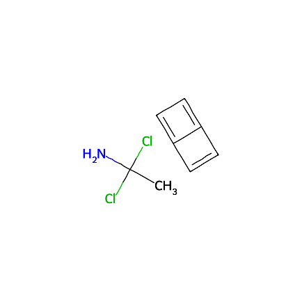 CC(N)(Cl)Cl.c1cc2ccc1-2